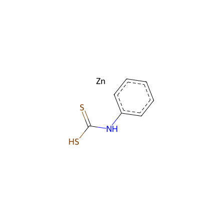 S=C(S)Nc1ccccc1.[Zn]